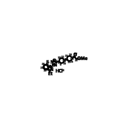 CCc1nn(-c2noc(C3CCN(C4CCN(C(=O)COC)CC4)CC3)n2)c2c(F)cccc12.Cl